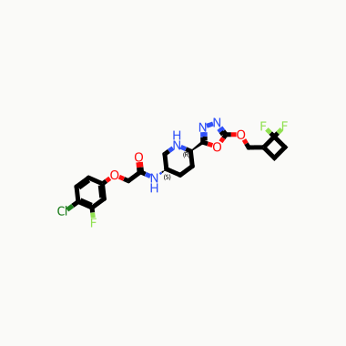 O=C(COc1ccc(Cl)c(F)c1)N[C@H]1CC[C@H](c2nnc(OCC3CCC3(F)F)o2)NC1